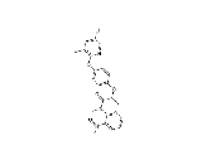 CC(Oc1ccc(Oc2ncc(Cl)cc2F)cc1)C(=O)N(C)c1ncccc1[N+](=O)[O-]